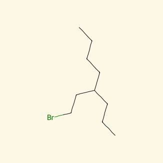 CCCCC(CCC)CCBr